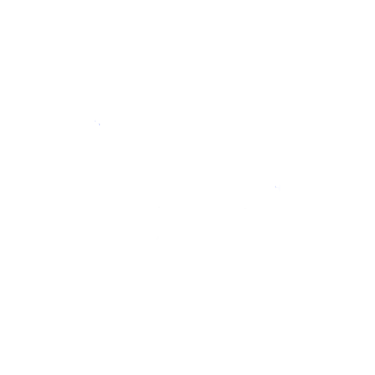 C=C1CC(CCCCC#N)C(COCCC#N)C1